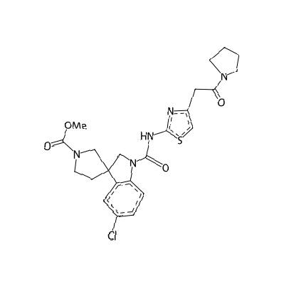 COC(=O)N1CCC2(C1)CN(C(=O)Nc1nc(CC(=O)N3CCCC3)cs1)c1ccc(Cl)cc12